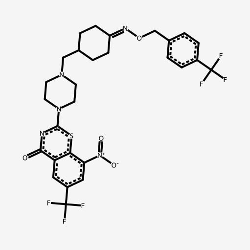 O=c1nc(N2CCN(CC3CCC(=NOCc4ccc(C(F)(F)F)cc4)CC3)CC2)sc2c([N+](=O)[O-])cc(C(F)(F)F)cc12